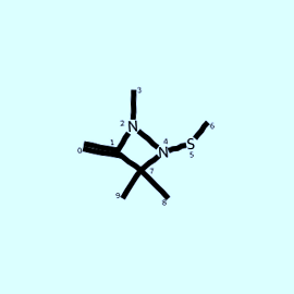 C=C1N(C)N(SC)C1(C)C